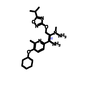 Cc1nc(/C(N)=C(\COc2noc(C(C)C)n2)N(C)N)ccc1OC1CCCCC1